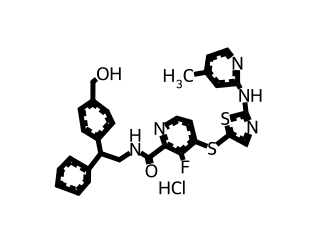 Cc1ccnc(Nc2ncc(Sc3ccnc(C(=O)NCC(c4ccccc4)c4ccc(CO)cc4)c3F)s2)c1.Cl